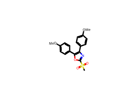 COc1ccc(-c2nc(S(C)(=O)=O)oc2-c2ccc(OC)cc2)cc1